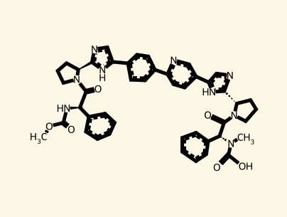 COC(=O)N[C@@H](C(=O)N1CCC[C@H]1c1ncc(-c2ccc(-c3ccc(-c4cnc([C@@H]5CCCN5C(=O)[C@@H](c5ccccc5)N(C)C(=O)O)[nH]4)cn3)cc2)[nH]1)c1ccccc1